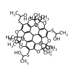 CC(O)Sc1c2c(c([C](c3c4c(c(SC(C)O)c5c3OC(C)(C)O5)OC(C)(C)O4)c3c4c(c(SC(C)O)c5c3OC(C)(C)O5)OC(C)(C)O4)c3c1OC(C)(C)O3)OC(C)(C)O2